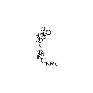 CNC1CCC(Nc2ncc(/C=C/c3ccc(NS(=O)(=O)c4ccccc4Cl)nc3C)cn2)CC1